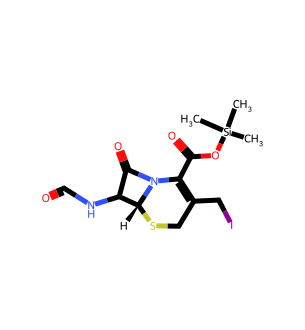 C[Si](C)(C)OC(=O)C1=C(CI)CS[C@@H]2C(NC=O)C(=O)N12